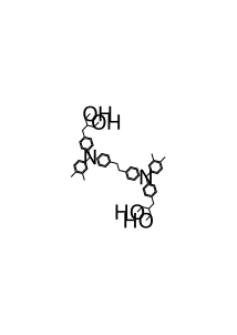 Cc1ccc(N(c2ccc(CCc3ccc(N(c4ccc(CC(CO)CO)cc4)c4ccc(C)c(C)c4)cc3)cc2)c2ccc(CC(CO)CO)cc2)cc1C